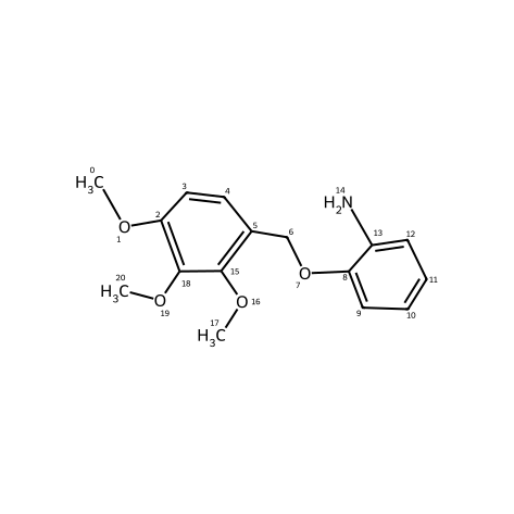 COc1ccc(COc2ccccc2N)c(OC)c1OC